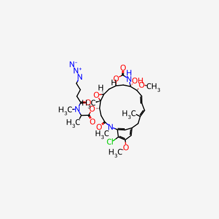 COc1cc2cc(c1Cl)N(C)C(=O)C[C@H](OC(=O)C(C)N(C)C(=O)CCCN=[N+]=[N-])[C@]1(C)O[C@H]1C[C@@H]1C[C@@](O)(NC(=O)O1)[C@H](OC)/C=C/C=C(\C)C2